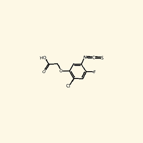 O=C(O)COc1cc(N=C=S)c(F)cc1Cl